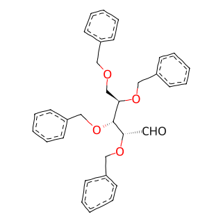 O=C[C@H](OCc1ccccc1)[C@H](OCc1ccccc1)[C@@H](COCc1ccccc1)OCc1ccccc1